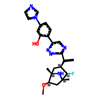 C=C(c1ncc(-c2ccc(-n3ccnc3)cc2O)nn1)[C@@H]1C[C@]2(C)N[C@@](C)(C[C@H]2OC)[C@H]1F